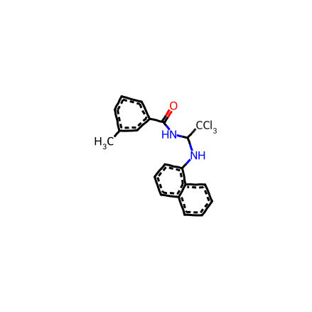 Cc1cccc(C(=O)NC(Nc2cccc3ccccc23)C(Cl)(Cl)Cl)c1